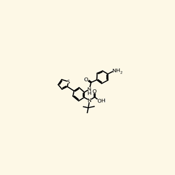 CC(C)(C)N(C(=O)O)c1ccc(-c2cccs2)cc1NC(=O)c1ccc(N)cc1